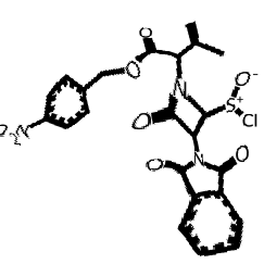 C=C(C)C(C(=O)OCc1ccc([N+](=O)[O-])cc1)N1C(=O)C(N2C(=O)c3ccccc3C2=O)C1[S+]([O-])Cl